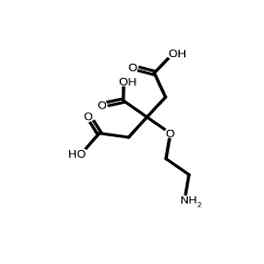 NCCOC(CC(=O)O)(CC(=O)O)C(=O)O